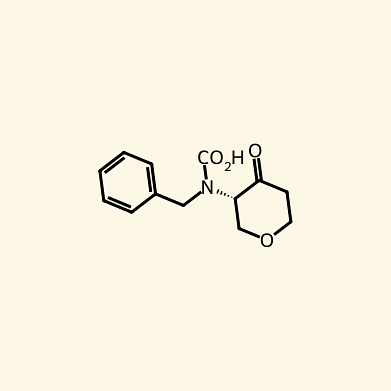 O=C1CCOC[C@@H]1N(Cc1ccccc1)C(=O)O